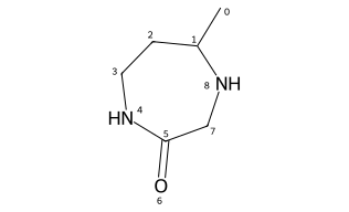 CC1CCNC(=O)CN1